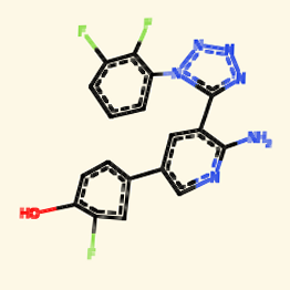 Nc1ncc(-c2ccc(O)c(F)c2)cc1-c1nnnn1-c1cccc(F)c1F